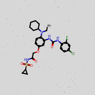 CC(C)CN(c1ccc(OCC(=O)NS(=O)(=O)C2CC2)cc1NC(=O)Nc1ccc(Cl)cc1F)C1CCCCC1